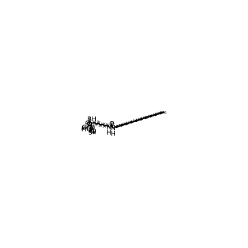 B[C@@H]1O[C@H](COC)C(OP(O)(=S)OC)[C@@H]1CCCCCCCNC(=O)NC#CC#CC#CC#CC#CC#CC#CC#CC#CC#CC